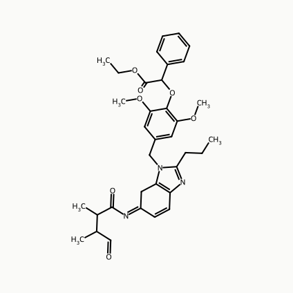 CCCc1nc2c(n1Cc1cc(OC)c(OC(C(=O)OCC)c3ccccc3)c(OC)c1)CC(=NC(=O)C(C)C(C)C=O)C=C2